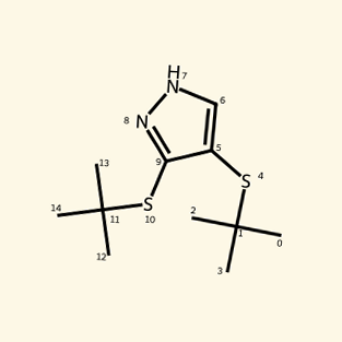 CC(C)(C)Sc1c[nH]nc1SC(C)(C)C